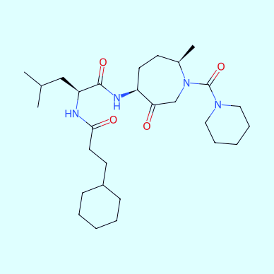 CC(C)C[C@H](NC(=O)CCC1CCCCC1)C(=O)N[C@H]1CC[C@@H](C)N(C(=O)N2CCCCC2)CC1=O